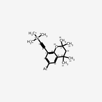 CC(=O)c1cc(C#C[Si](C)(C)C)c2c(c1)C(C)(C)CC(C)(C)O2